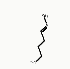 CCCCCC/C=N/O